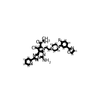 CNC(=O)c1c(Cl)c2c(nc(N)n3nc(-c4ccccn4)nc23)n1CCN1CCN(c2cc(-c3ncco3)ccc2F)CC1